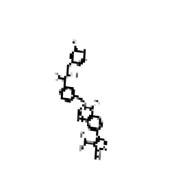 O=C(NCc1ccnc(F)c1)c1cccc(Cn2cnc3cc(-c4cn[nH]c4C(F)F)ccc3c2=O)c1